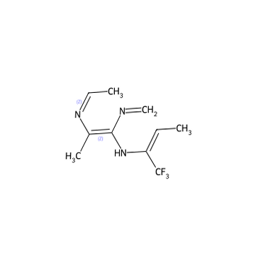 C=N/C(NC(=CC)C(F)(F)F)=C(C)\N=C/C